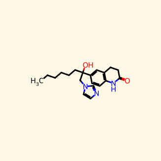 CCCCCCC(O)(Cn1ccnc1)c1ccc2c(c1)CCC(=O)N2